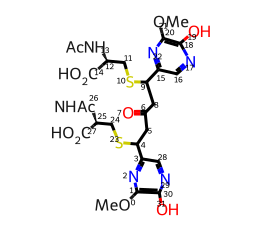 COc1nc(C(CC(=O)CC(SC[C@H](NC(C)=O)C(=O)O)c2cnc(O)c(OC)n2)SC[C@H](NC(C)=O)C(=O)O)cnc1O